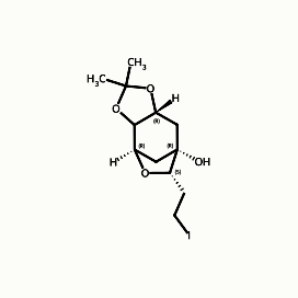 CC1(C)OC2[C@H]3C[C@@](O)(C[C@H]2O1)[C@H](CCI)O3